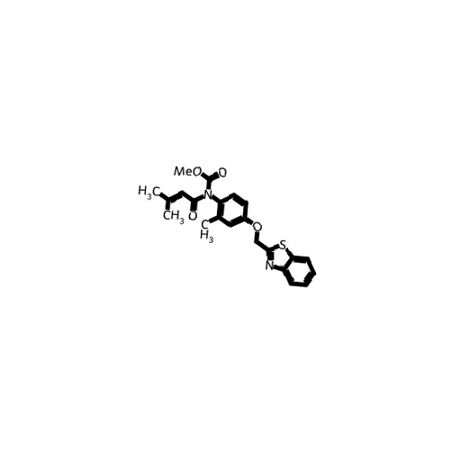 COC(=O)N(C(=O)C=C(C)C)c1ccc(OCc2nc3ccccc3s2)cc1C